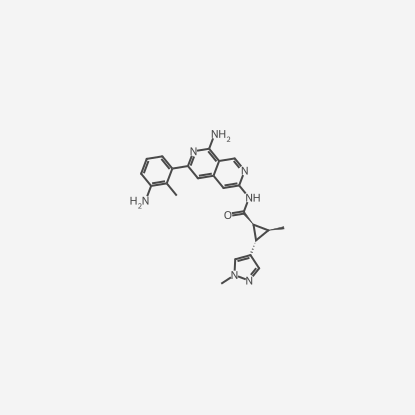 Cc1c(N)cccc1-c1cc2cc(NC(=O)[C@H]3[C@@H](C)[C@@H]3c3cnn(C)c3)ncc2c(N)n1